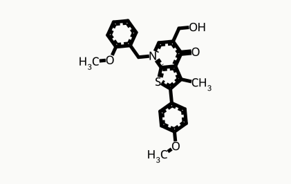 COc1ccc(-c2sc3c(c2C)c(=O)c(CO)cn3Cc2ccccc2OC)cc1